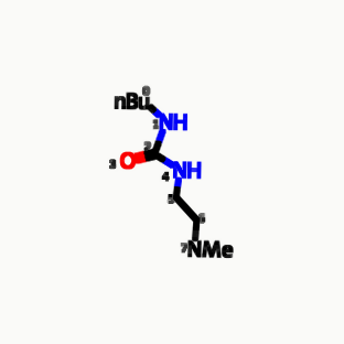 CCCCNC(=O)NCCNC